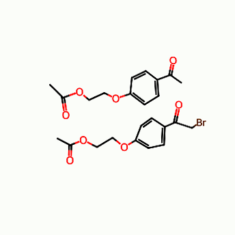 CC(=O)OCCOc1ccc(C(=O)CBr)cc1.CC(=O)OCCOc1ccc(C(C)=O)cc1